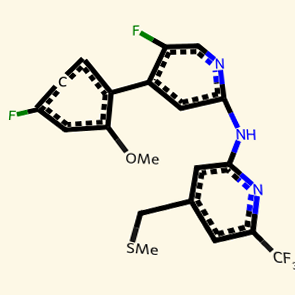 COc1cc(F)ccc1-c1cc(Nc2cc(CSC)cc(C(F)(F)F)n2)ncc1F